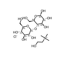 C[N+](C)(C)CCO.OC[C@H]1O[C@H](O[C@H]2[C@H](O)[C@@H](O)[C@H](O)O[C@@H]2CO)[C@H](O)[C@@H](O)[C@@H]1O.[Cl-]